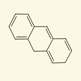 [C]1=C2Cc3ccccc3C=C2C=CC1